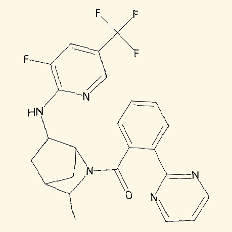 CC1C2CC(Nc3ncc(C(F)(F)F)cc3F)C(C2)N1C(=O)c1ccccc1-c1ncccn1